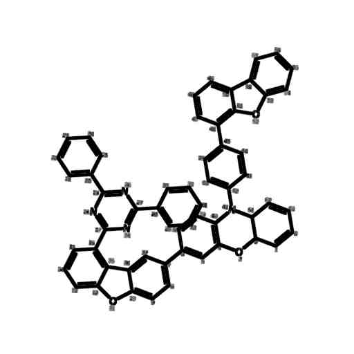 C1=CC2Oc3cc(-c4ccc5oc6cccc(-c7nc(-c8ccccc8)nc(-c8ccccc8)n7)c6c5c4)ccc3N(c3ccc(-c4cccc5c4oc4ccccc45)cc3)C2C=C1